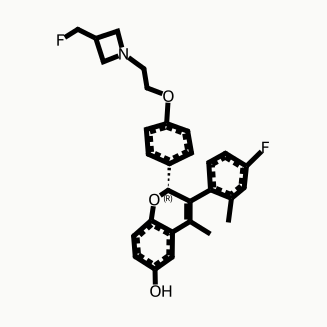 CC1=C(c2ccc(F)cc2C)[C@@H](c2ccc(OCCN3CC(CF)C3)cc2)Oc2ccc(O)cc21